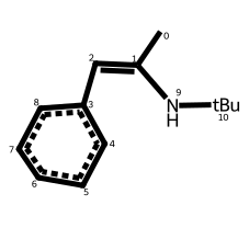 CC(=Cc1ccccc1)NC(C)(C)C